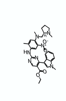 CCOC(=O)c1cnc(Nc2cc([N+](=O)[O-])c(N(C)C[C@H]3CCCN3C)cc2C)nc1-c1cn(C)c2ccccc12